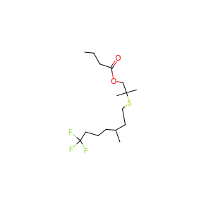 CCCC(=O)OCC(C)(C)SCCC(C)CCCC(F)(F)F